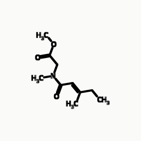 CC/C(C)=C/C(=O)N(C)CC(=O)OC